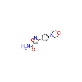 NC(=O)c1cc(-c2ccc(N3CCOCC3)cc2)no1